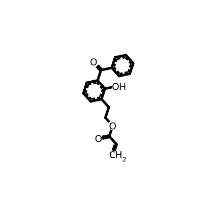 C=CC(=O)OCCc1cccc(C(=O)c2ccccc2)c1O